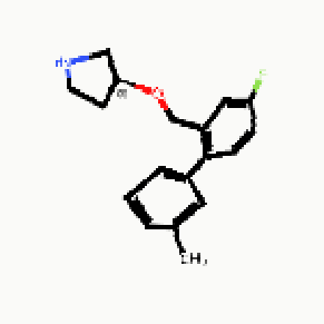 Cc1cccc(-c2ccc(F)cc2CO[C@H]2CCNC2)c1